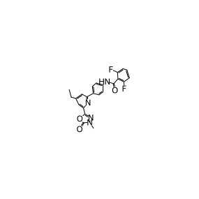 CCc1cc(-c2ccc(NC(=O)c3c(F)cccc3F)cc2)nc(-c2nn(C)c(=O)o2)c1